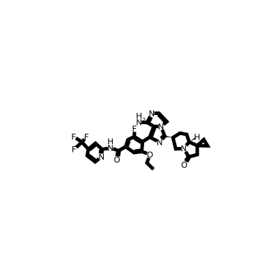 CCOc1cc(C(=O)Nc2cc(C(F)(F)F)ccn2)cc(F)c1-c1nc([C@@H]2CC[C@@H]3N(C2)C(=O)CC32CC2)n2ccnc(N)c12